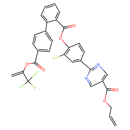 C=CCOC(=O)c1cnc(-c2ccc(OC(=O)c3ccccc3-c3ccc(C(=O)OC(=C)C(F)(F)F)cc3)c(F)c2)nc1